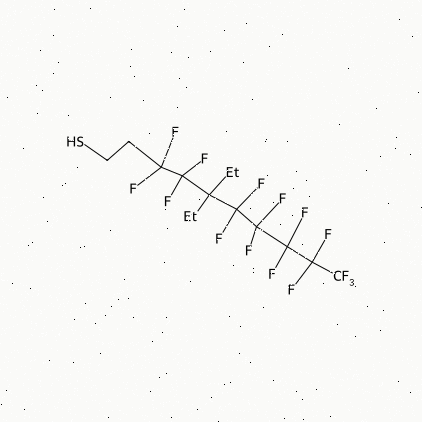 CCC(CC)(C(F)(F)C(F)(F)CCS)C(F)(F)C(F)(F)C(F)(F)C(F)(F)C(F)(F)F